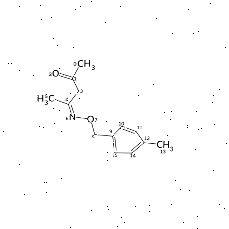 CC(=O)CC(C)=NOCc1ccc(C)cc1